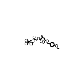 C=C(CC(=O)OCc1ccc(OCC)cc1)C(=O)OCC(=O)OCC(Cl)(Cl)Cl